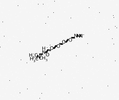 C[N+](C)(C)CCNC(=O)CCOCCOCCOCCOCCN=[N+]=[N-]